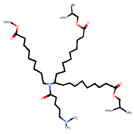 CCCCCCCCCCOC(=O)CCCCCCCCN(C(=O)CCCCN(C)C)C(CCCCCCCCC(=O)OCC(CCCC)CCCCCC)CCCCCCCCC(=O)OCC(CCCC)CCCCCC